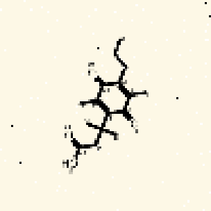 CCCC1=C(C)C(=O)C(C(C)(C)CC(=O)O)=C(C)C1=O